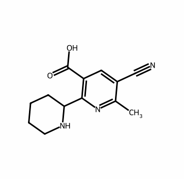 Cc1nc(C2CCCCN2)c(C(=O)O)cc1C#N